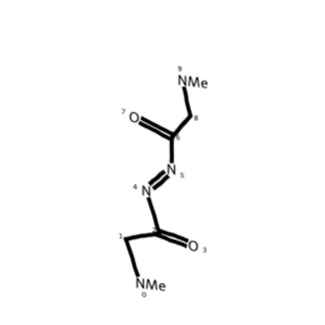 CNCC(=O)N=NC(=O)CNC